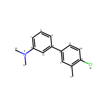 Cc1cc(-c2[c]ccc(N(C)C)c2)ccc1Cl